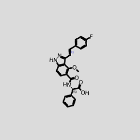 COc1c(C(=O)N[C@H](C(=O)O)c2ccccc2)ccc2[nH]nc(/C=C/c3ccc(F)cc3)c12